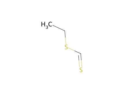 CCSC=S